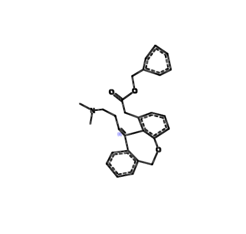 CN(C)CC/C=C1/c2ccccc2COc2cccc(CC(=O)OCc3ccccc3)c21